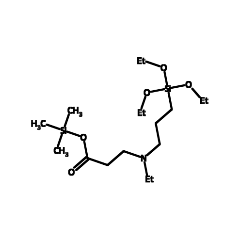 CCO[Si](CCCN(CC)CCC(=O)O[Si](C)(C)C)(OCC)OCC